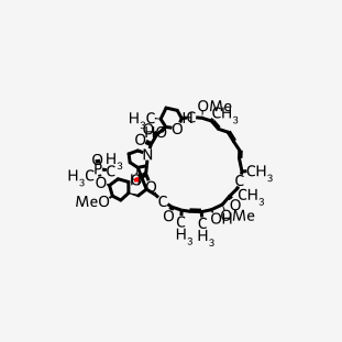 CO[C@H]1C[C@@H]2CC[C@@H](C)C(O)(O2)C(=O)C(=O)N2CCC[C@@H]3C(C[C@@H]4CC[C@@H](OP(C)(C)=O)[C@H](OC)C4)C(CC(=O)C(C)/C=C(\C)[C@@H](O)[C@@H](OC)C(=O)[C@H](C)CC(C)/C=C/C=C/C=C/1C)OC(=O)C32